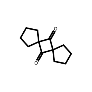 O=C1C2(CCCC2)C(=O)C12CCCC2